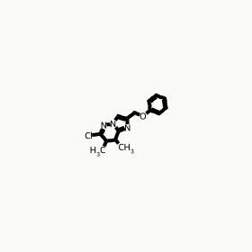 CC1C(Cl)=Nn2cc(COc3ccccc3)nc2C1C